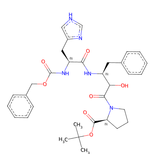 CC(C)(C)OC(=O)[C@@H]1CCCN1C(=O)C(O)[C@H](Cc1ccccc1)NC(=O)[C@H](Cc1c[nH]cn1)NC(=O)OCc1ccccc1